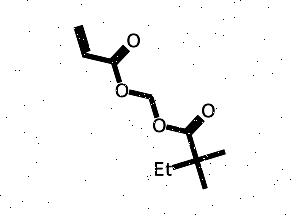 C=CC(=O)OCOC(=O)C(C)(C)CC